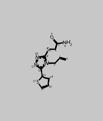 C=CCn1c(SCC(N)=O)nnc1C1CC=CS1